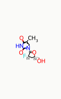 Cc1cn([C@@H]2O[C@H](CO)C[C@@H]2F)c(=O)[nH]c1=O